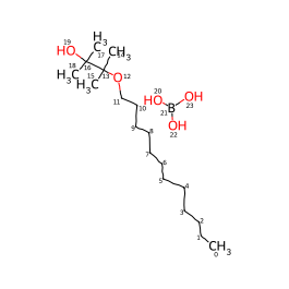 CCCCCCCCCCCCOC(C)(C)C(C)(C)O.OB(O)O